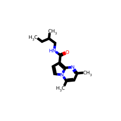 CCC(C)CNC(=O)c1ccn2c(C)cc(C)nc12